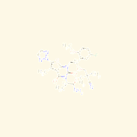 COc1ccc(F)cc1[C@H](Cn1c(=O)n([C@H](C)C(N)=O)c(=O)c2c(C)c(-n3nccn3)sc21)OCC(C)(C)C#N